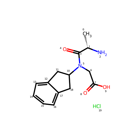 C[C@H](N)C(=O)N(CC(=O)O)C1Cc2ccccc2C1.Cl